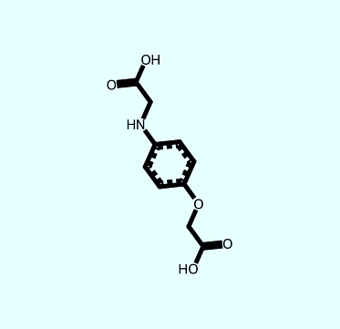 O=C(O)CNc1ccc(OCC(=O)O)cc1